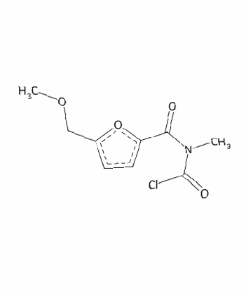 COCc1ccc(C(=O)N(C)C(=O)Cl)o1